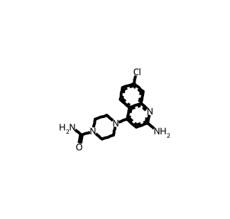 NC(=O)N1CCN(c2cc(N)nc3cc(Cl)ccc23)CC1